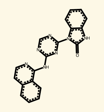 O=c1[nH]c2ccccc2n1-c1ncnc(Nc2nccc3ccccc23)n1